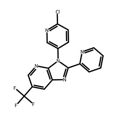 FC(F)(F)c1cnc2c(c1)nc(-c1ccccn1)n2-c1ccc(Cl)nc1